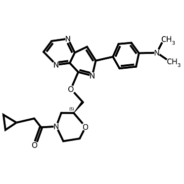 CN(C)c1ccc(-c2cc3nccnc3c(OC[C@@H]3CN(C(=O)CC4CC4)CCO3)n2)cc1